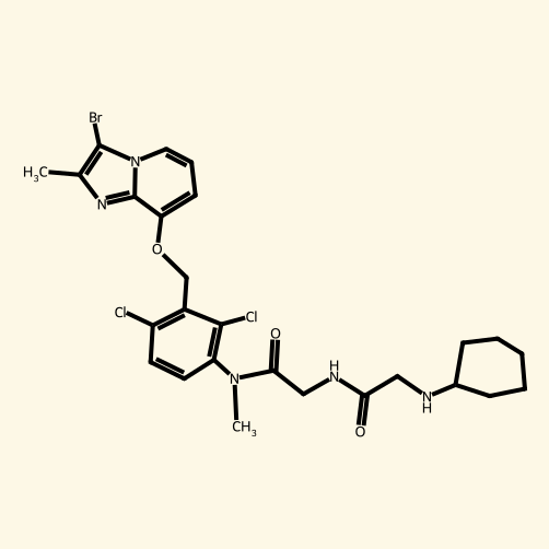 Cc1nc2c(OCc3c(Cl)ccc(N(C)C(=O)CNC(=O)CNC4CCCCC4)c3Cl)cccn2c1Br